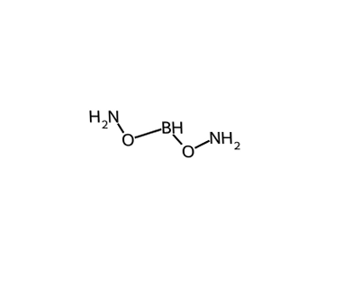 NOBON